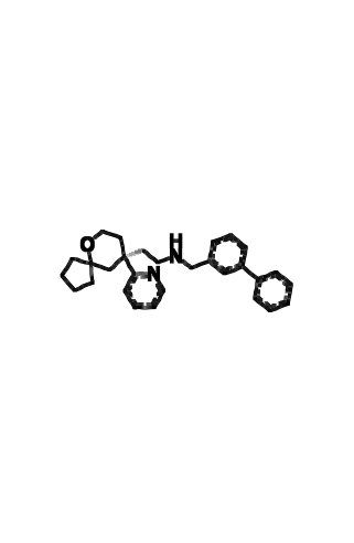 c1ccc(-c2cccc(CNCC[C@@]3(c4ccccn4)CCOC4(CCCC4)C3)c2)cc1